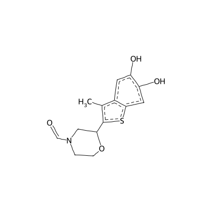 Cc1c(C2CN(C=O)CCO2)sc2cc(O)c(O)cc12